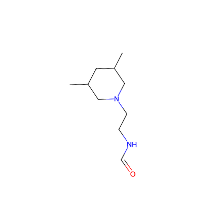 CC1CC(C)CN(CCNC=O)C1